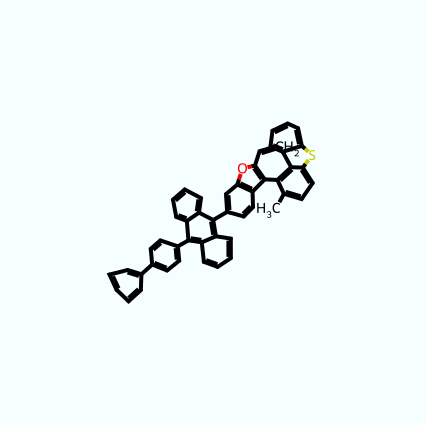 C=Cc1oc2cc(-c3c4ccccc4c(-c4ccc(-c5ccccc5)cc4)c4ccccc34)ccc2c1-c1c(C)ccc2sc3ccccc3c12